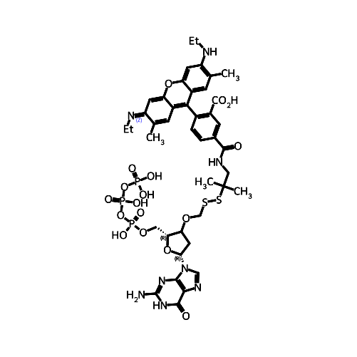 CC/N=c1/cc2oc3cc(NCC)c(C)cc3c(-c3ccc(C(=O)NCC(C)(C)SSCOC4C[C@H](n5cnc6c(=O)[nH]c(N)nc65)O[C@@H]4COP(=O)(O)OP(=O)(O)OP(=O)(O)O)cc3C(=O)O)c-2cc1C